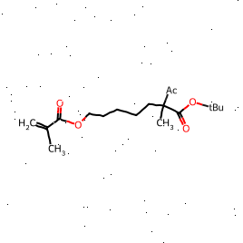 C=C(C)C(=O)OCCCCCC(C)(C(C)=O)C(=O)OC(C)(C)C